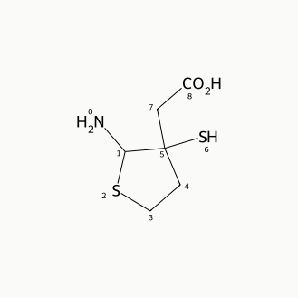 NC1SCCC1(S)CC(=O)O